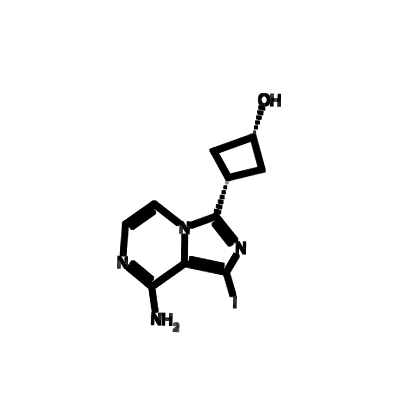 Nc1nccn2c1c(I)nc2[C@H]1C[C@@H](O)C1